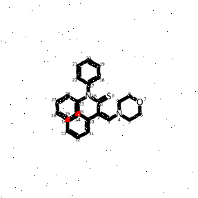 S=C(C(=CN1CCOCC1)c1ccccc1)N(c1ccccc1)c1ccccc1